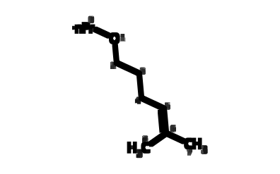 CC[CH]OCCCC=C(C)C